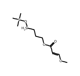 COC=CC(=O)OCCC[SiH2]O[Si](C)(C)C